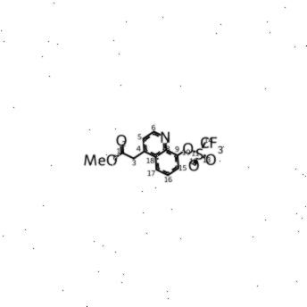 COC(=O)Cc1ccnc2c(OS(=O)(=O)C(F)(F)F)cccc12